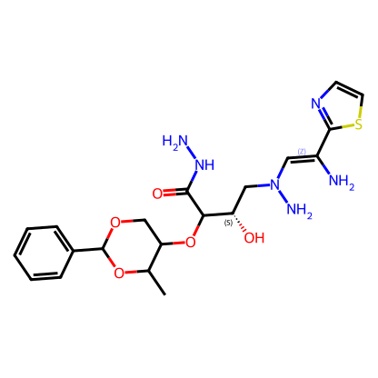 CC1OC(c2ccccc2)OCC1OC(C(=O)NN)[C@@H](O)CN(N)/C=C(\N)c1nccs1